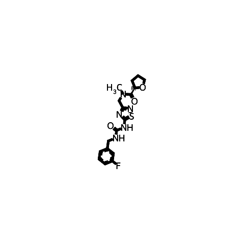 CN(Cc1nsc(NC(=O)NCc2cccc(F)c2)n1)C(=O)[C@H]1CCCO1